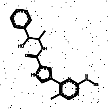 CCNc1ncc(C)c(-c2c[nH]c(C(=O)NC(C)C(O)c3ccccc3)c2)n1